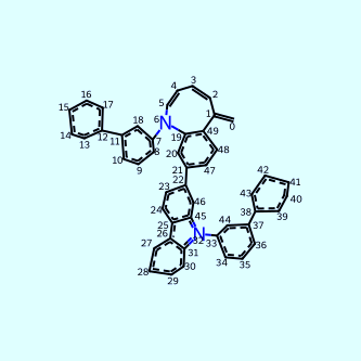 C=C1/C=C\C=C/N(c2cccc(-c3ccccc3)c2)c2cc(-c3ccc4c5ccccc5n(-c5cccc(-c6ccccc6)c5)c4c3)ccc21